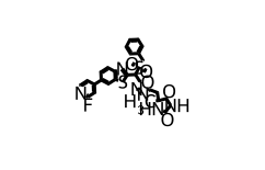 CC1(Cc2nnc(C(c3nc4ccc(-c5ccnc(F)c5)cc4s3)S(=O)(=O)Cc3ccccc3)o2)NC(=O)NC1=O